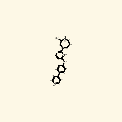 CC(C)C1CN(c2nccc(Nc3ccc(-c4ccncc4)cc3)n2)CCCN1